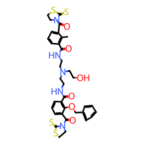 Cc1c(C(=O)NCCN(CCO)CCNC(=O)c2cccc(C(=O)N3CCSC3=S)c2OCc2ccccc2)cccc1C(=O)N1CCSC1=S